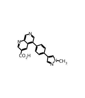 Cn1cc(-c2ccc(-c3cncc4ncc(C(=O)O)cc34)cc2)cn1